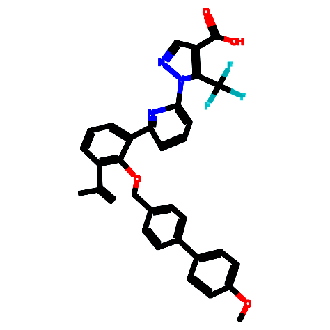 C=C(C)c1cccc(-c2cccc(-n3ncc(C(=O)O)c3C(F)(F)F)n2)c1OCc1ccc(-c2ccc(OC)cc2)cc1